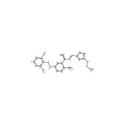 N=C(/C=C/c1cnn(CCO)c1)c1cc(OCc2c(Cl)cncc2Cl)ccc1N